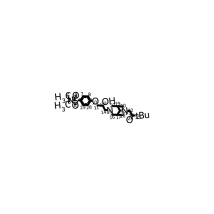 CN(C)S(=O)(=O)c1ccc(OCC(O)CN2CC3CC(CN(CC(=O)C(C)(C)C)C3)C2)cc1